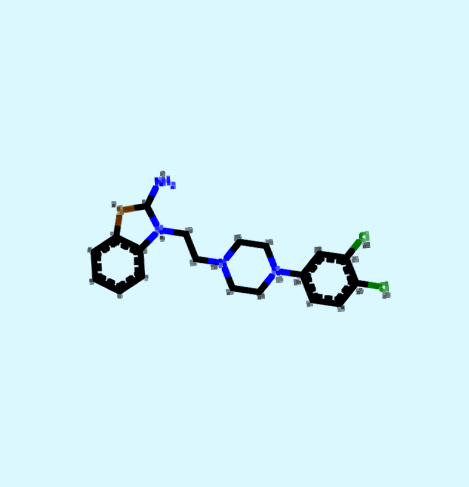 NC1Sc2ccccc2N1CCN1CCN(c2ccc(Cl)c(Cl)c2)CC1